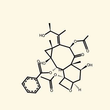 CC(=O)O[C@H]1C(=O)[C@@]2(C)[C@H]([C@H](OC(=O)c3ccccc3)[C@]3(O)C[C@]3(C)/C1=C(/C)[C@H](C)O)[C@]1(OC(C)=O)CO[C@@H]1C[C@@H]2O